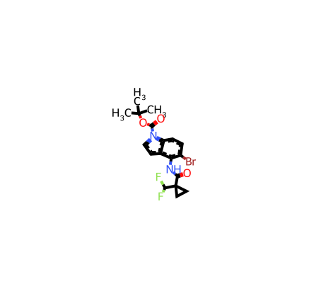 CC(C)(C)OC(=O)n1ccc2c(NC(=O)C3(C(F)F)CC3)c(Br)ccc21